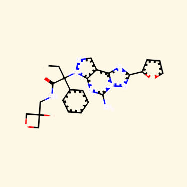 CCC(C(=O)NCC1(O)COC1)(c1ccccc1)n1ncc2c1nc(N)n1nc(-c3ccco3)nc21